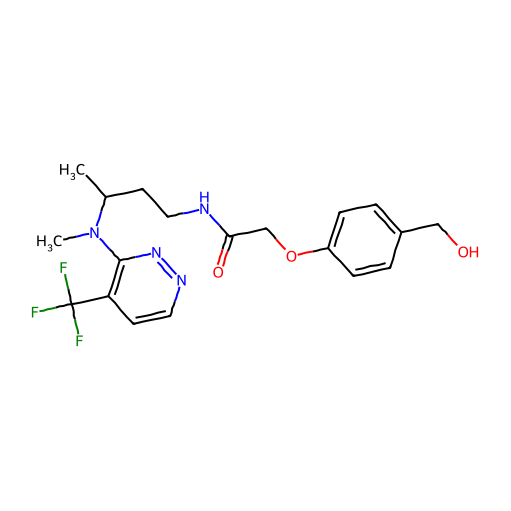 CC(CCNC(=O)COc1ccc(CO)cc1)N(C)c1nnccc1C(F)(F)F